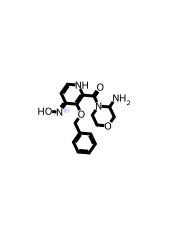 NC1COCCN1C(=O)c1[nH]cc/c(=N\O)c1OCc1ccccc1